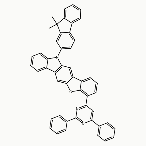 CC1(C)c2ccccc2-c2ccc(-n3c4ccccc4c4cc5oc6c(-c7nc(-c8ccccc8)nc(-c8ccccc8)n7)cccc6c5cc43)cc21